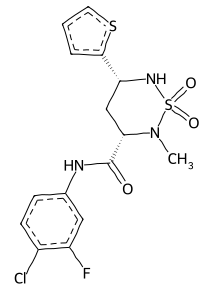 CN1[C@H](C(=O)Nc2ccc(Cl)c(F)c2)C[C@H](c2cccs2)NS1(=O)=O